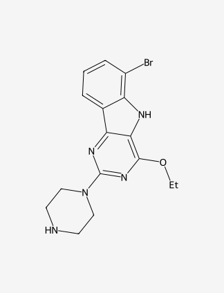 CCOc1nc(N2CCNCC2)nc2c1[nH]c1c(Br)cccc12